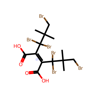 CC(C)(CBr)C(Br)(Br)/C(C(=O)O)=C(/C(=O)O)C(Br)(Br)C(C)(C)CBr